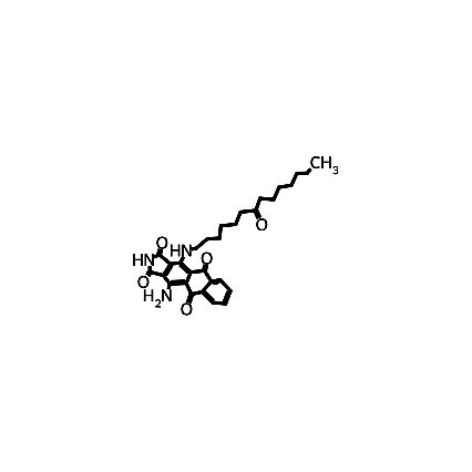 CCCCCCCC(=O)CCCCCCNc1c2c(=O)[nH]c(=O)c2c(N)c2c(=O)c3ccccc3c(=O)c12